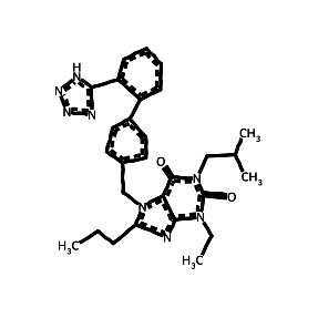 CCCc1nc2c(c(=O)n(CC(C)C)c(=O)n2CC)n1Cc1ccc(-c2ccccc2-c2nnn[nH]2)cc1